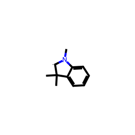 CN1[CH]C(C)(C)c2ccccc21